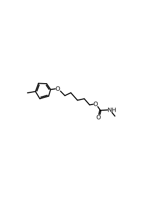 CNC(=O)OCCCCCOc1ccc(C)cc1